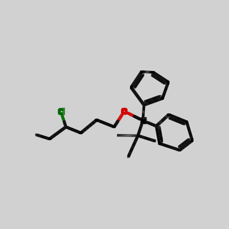 CCC(Cl)CCCO[Si](c1ccccc1)(c1ccccc1)C(C)(C)C